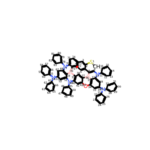 CSc1ccccc1C1=CN(c2ccccc2)c2cc(N(c3ccccc3)c3ccccc3)cc3c2B1c1cc2c(cc1O3)N(c1ccccc1)c1cc(N(c3ccccc3)c3ccccc3)cc3c1B2c1ccccc1N3c1ccccc1